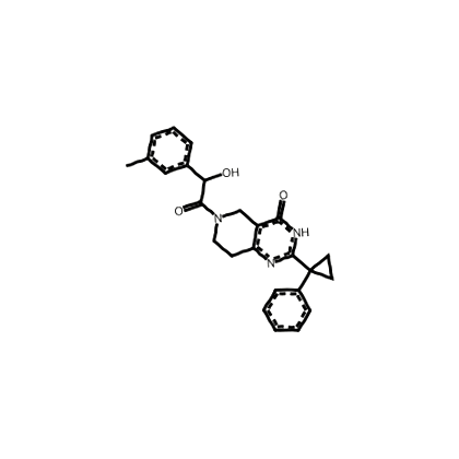 Cc1cccc(C(O)C(=O)N2CCc3nc(C4(c5ccccc5)CC4)[nH]c(=O)c3C2)c1